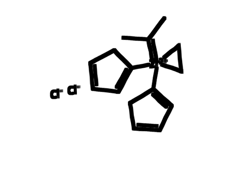 C[C](C)=[Zr+2]1([C]2=CC=CC2)([C]2=CC=CC2)[CH2][CH2]1.[Cl-].[Cl-]